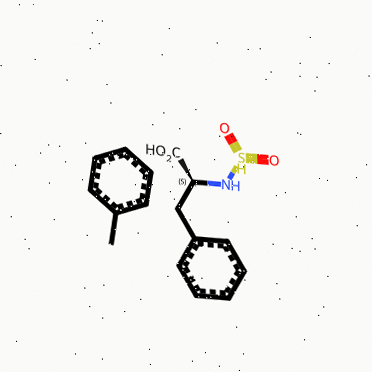 Cc1ccccc1.O=C(O)[C@H](Cc1ccccc1)N[SH](=O)=O